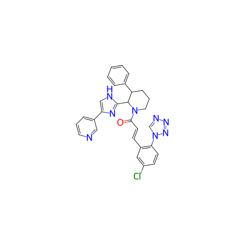 O=C(C=Cc1cc(Cl)ccc1-n1cnnn1)N1CCCC(c2ccccc2)C1c1nc(-c2cccnc2)c[nH]1